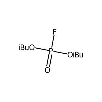 CC(C)COP(=O)(F)OCC(C)C